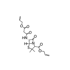 C=CCOC(=O)CC(=O)N[C@@H]1C(=O)N2C(C(=O)OCC=C)C(C)(C)S[C@H]12